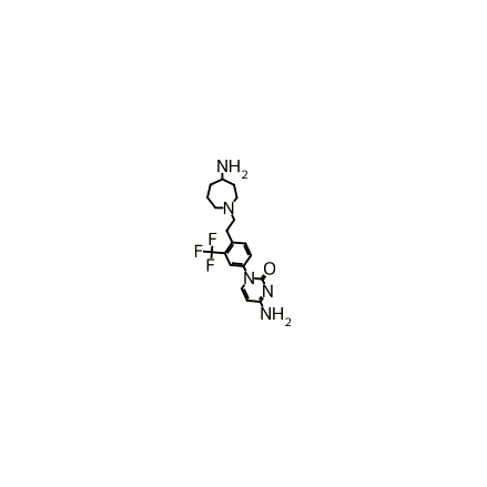 Nc1ccn(-c2ccc(CCN3CCCC(N)CC3)c(C(F)(F)F)c2)c(=O)n1